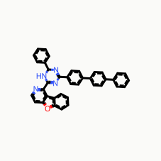 c1ccc(-c2ccc(-c3ccc(C4=NC(c5ccccc5)NC(c5nccc6oc7ccccc7c56)=N4)cc3)cc2)cc1